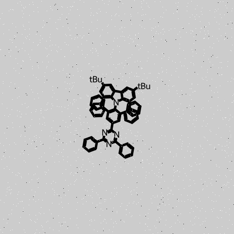 CC(C)(C)c1cc(-c2ccccc2)c2c(c1)c1cc(C(C)(C)C)cc(-c3ccccc3)c1n2-c1c(-c2ccccc2)cc(-c2nc(-c3ccccc3)nc(-c3ccccc3)n2)cc1-c1ccccc1